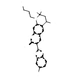 CC1CC(C)(C)N(CCCC(=O)O)c2cc3oc(=O)c(-c4nc5cc(Cl)ccc5o4)cc3cc21